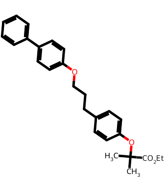 CCOC(=O)C(C)(C)Oc1ccc(CCCOc2ccc(-c3ccccc3)cc2)cc1